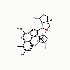 CSc1nc2c(F)c(Cl)ncc2c2c1cc(C1CC[C@H]3COC(=O)N13)n2[C@H]1[C@@H]2C[C@H]1N(C(=O)O)C2